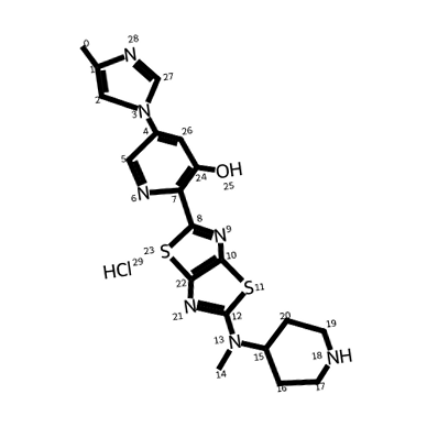 Cc1cn(-c2cnc(-c3nc4sc(N(C)C5CCNCC5)nc4s3)c(O)c2)cn1.Cl